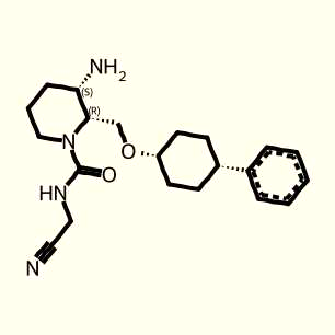 N#CCNC(=O)N1CCC[C@H](N)[C@@H]1CO[C@H]1CC[C@@H](c2ccccc2)CC1